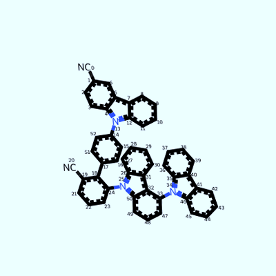 N#Cc1ccc2c(c1)c1ccccc1n2-c1ccc(-c2c(C#N)cccc2-n2c3ccccc3c3c(-n4c5ccccc5c5ccccc54)cccc32)cc1